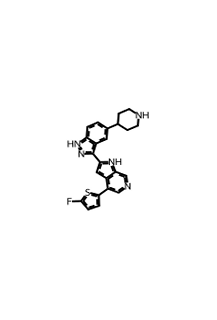 Fc1ccc(-c2cncc3[nH]c(-c4n[nH]c5ccc(C6CCNCC6)cc45)cc23)s1